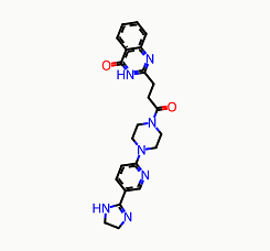 O=C(CCc1nc2ccccc2c(=O)[nH]1)N1CCN(c2ccc(C3=NCCN3)cn2)CC1